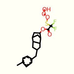 Cc1ccc(CC2CC3C4CC(OC(=O)C(F)(F)SOOO)C(C4)C3C2)cc1